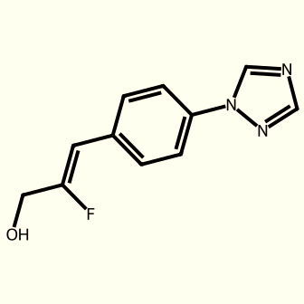 OC/C(F)=C/c1ccc(-n2cncn2)cc1